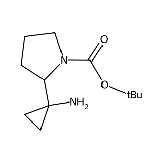 CC(C)(C)OC(=O)N1CCCC1C1(N)CC1